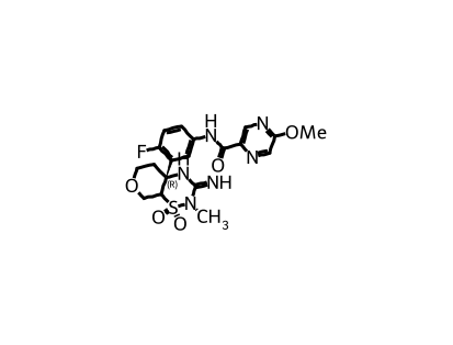 COc1cnc(C(=O)Nc2ccc(F)c([C@]34CCOCC3S(=O)(=O)N(C)C(=N)N4)c2)cn1